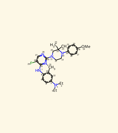 CCN(CC)c1ccc(Nc2nc(N3CCN(c4ccc(OC)cc4)C(C)(C)C3)ncc2F)c(C)c1